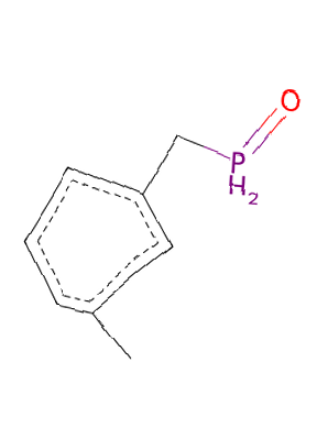 Cc1cccc(C[PH2]=O)c1